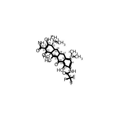 CN(C)c1cc(NC(=O)C(F)(F)F)c(O)c2c1CC1CC3[C@H](N(C)C)C(O)=C(C(N)=O)C(=O)[C@@]3(O)C(O)=C1C2=O